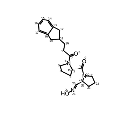 O=C([C@@H]1CCCN1C(=O)CCC1Cc2ccccc2C1)N1CCC[C@H]1C=NO